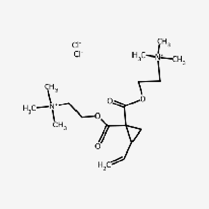 C=CC1CC1(C(=O)OCC[N+](C)(C)C)C(=O)OCC[N+](C)(C)C.[Cl-].[Cl-]